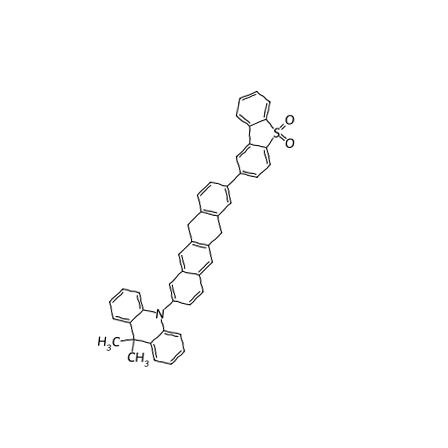 CC1(C)c2ccccc2N(c2ccc3cc4c(cc3c2)Cc2ccc(-c3ccc5c(c3)-c3ccccc3S5(=O)=O)cc2C4)c2ccccc21